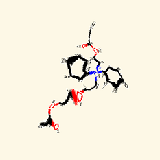 CC(=O)OCCOCC[N+](CCOC(C)=O)(c1ccccc1)c1ccccc1